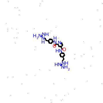 N=C(N)NCCc1ccc(NC(=O)c2ccnc(C(=O)Nc3ccc(CCNC(=N)N)cc3)c2)cc1